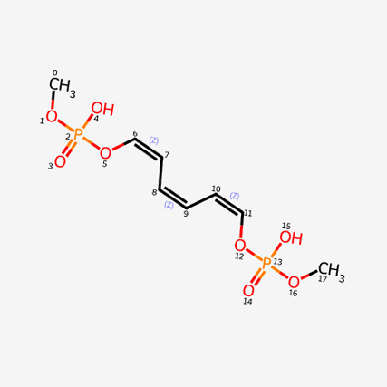 COP(=O)(O)O\C=C/C=C\C=C/OP(=O)(O)OC